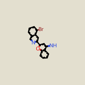 N=c1cc(-c2cc3c(Br)cccc3cn2)oc2ccccc12